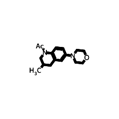 CC(=O)N1CC(C)Cc2cc(N3CCOCC3)ccc21